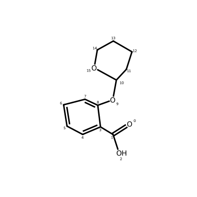 O=C(O)c1ccccc1OC1CCCCO1